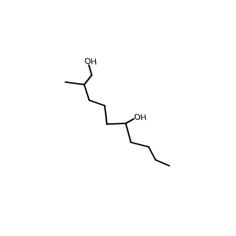 CCCCC(O)CCCC(C)CO